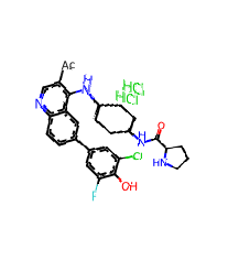 CC(=O)c1cnc2ccc(-c3cc(F)c(O)c(Cl)c3)cc2c1NC1CCC(NC(=O)C2CCCN2)CC1.Cl.Cl